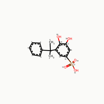 CC(C)(c1ccccc1)c1cc(S(=O)(=O)O)cc(O)c1O